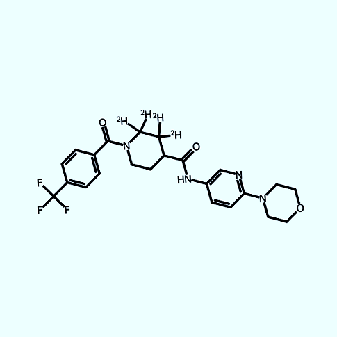 [2H]C1([2H])C(C(=O)Nc2ccc(N3CCOCC3)nc2)CCN(C(=O)c2ccc(C(F)(F)F)cc2)C1([2H])[2H]